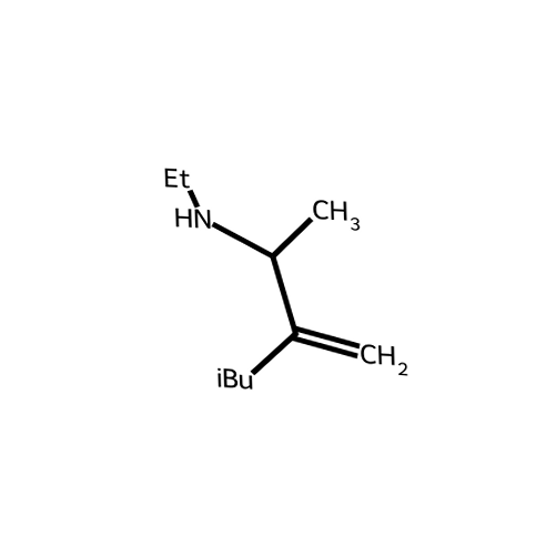 C=C(C(C)CC)C(C)NCC